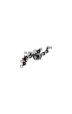 Cc1nn(C(C)c2ccc(Cl)cc2Cl)c2nc(N3CCC(N4CC(CC(c5ccc(Cl)cc5Cl)n5nc(C#N)c6ncc(N7CCC(N8CCCC(CO)C8)CC7)nc65)CC4CO)C(C(N)=O)C3)cnc12